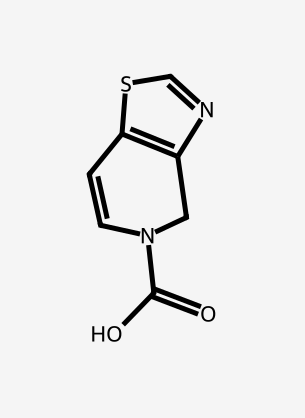 O=C(O)N1C=Cc2scnc2C1